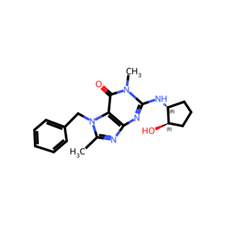 Cc1nc2nc(N[C@@H]3CCC[C@H]3O)n(C)c(=O)c2n1Cc1ccccc1